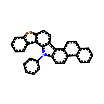 c1ccc(-n2c3ccc4c5ccccc5ccc4c3c3ccc4sc5ccccc5c4c32)cc1